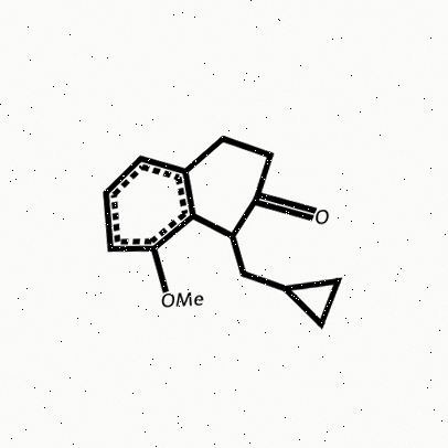 COc1cccc2c1C(CC1CC1)C(=O)CC2